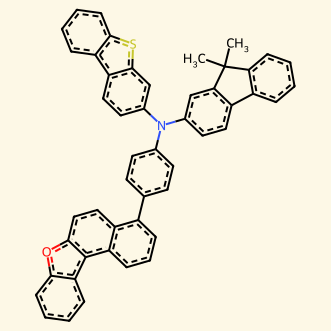 CC1(C)c2ccccc2-c2ccc(N(c3ccc(-c4cccc5c4ccc4oc6ccccc6c45)cc3)c3ccc4c(c3)sc3ccccc34)cc21